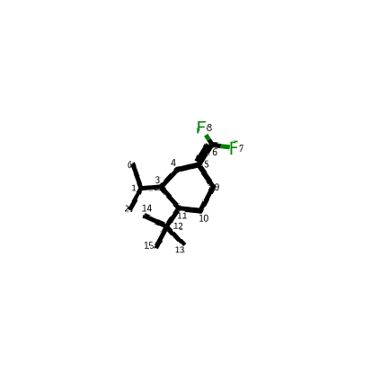 CC(C)C1CC(=C(F)F)CCC1C(C)(C)C